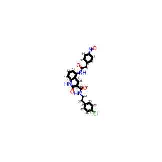 O=Nc1ccc(CC(=O)Nc2cccc3[nH]c(=O)c(C(=O)NCCc4ccc(Cl)cc4)cc23)cc1